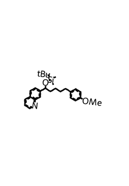 COc1ccc(CCCCC(O[Si](C)(C)C(C)(C)C)c2ccc3cccnc3c2)cc1